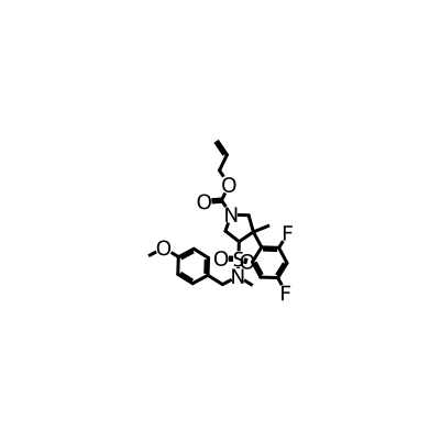 C=CCOC(=O)N1CC(S(=O)(=O)N(C)Cc2ccc(OC)cc2)C(C)(c2ccc(F)cc2F)C1